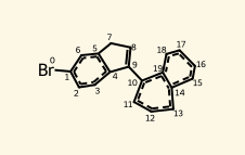 Brc1ccc2c(c1)CC=C2c1cccc2ccccc12